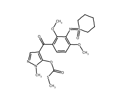 COc1ccc(C(=O)c2cnn(C)c2OC(=O)SC)c(OC)c1N=S1(=O)CCCCC1